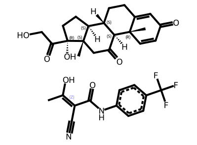 C/C(O)=C(\C#N)C(=O)Nc1ccc(C(F)(F)F)cc1.C[C@]12C=CC(=O)C=C1CC[C@@H]1[C@@H]2C(=O)C[C@@]2(C)[C@H]1CC[C@]2(O)C(=O)CO